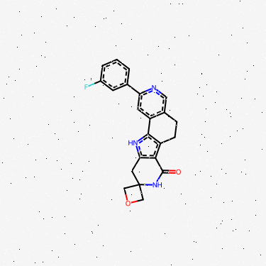 O=C1NC2(COC2)Cc2[nH]c3c(c21)CCc1cnc(-c2cccc(F)c2)cc1-3